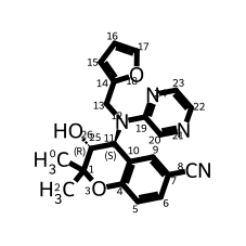 CC1(C)Oc2ccc(C#N)cc2[C@H](N(Cc2ccco2)c2cnccn2)[C@H]1O